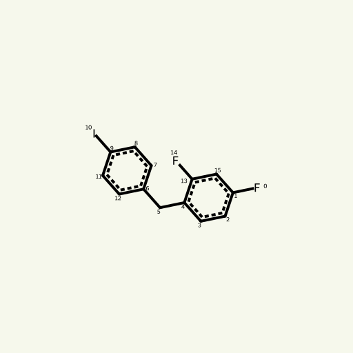 Fc1ccc(Cc2ccc(I)cc2)c(F)c1